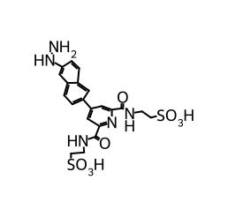 NNc1ccc2cc(-c3cc(C(=O)NCCS(=O)(=O)O)nc(C(=O)NCCS(=O)(=O)O)c3)ccc2c1